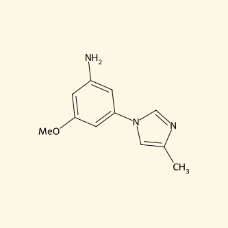 COc1cc(N)cc(-n2cnc(C)c2)c1